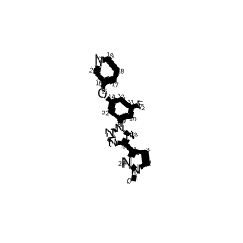 Cn1ccc(-c2nnn(-c3cc(F)cc(Oc4cccnc4)c3)n2)n1